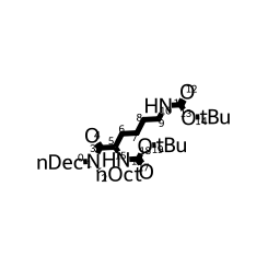 CCCCCCCCCCN(CCCCCCCC)C(=O)C(CCCCNC(=O)OC(C)(C)C)NC(=O)OC(C)(C)C